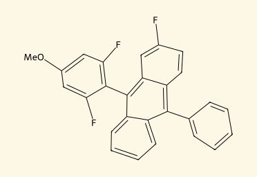 COc1cc(F)c(-c2c3ccccc3c(-c3ccccc3)c3ccc(F)cc23)c(F)c1